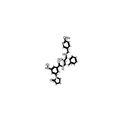 CCNc1cc(C(=O)N[C@@H](Cc2ccccc2)[C@@H](O)CNCc2ccc(OC)nc2)cc(N2CCCC2=O)c1